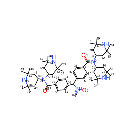 C=[N+]([O-])C(c1ccc(C(=O)N(C2CC(C)(C)NC(C)(C)C2)C2CC(C)(C)NC(C)(C)C2)cc1)c1ccc(C(=O)N(C2CC(C)(C)NC(C)(C)C2)C2CC(C)(C)NC(C)(C)C2)cc1